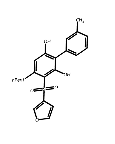 CCCCCc1cc(O)c(-c2cccc(C)c2)c(O)c1S(=O)(=O)c1ccoc1